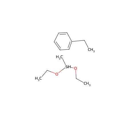 CCO[SiH](C)OCC.CCc1ccccc1